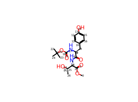 COC(=O)[C@@H](NC(=O)[C@H](Cc1ccc(O)cc1)NC(=O)OC(C)(C)C)[C@@H](C)O